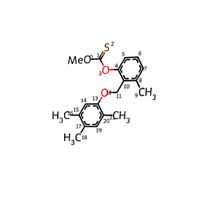 COC(=S)Oc1cccc(C)c1COc1cc(C)c(C)cc1C